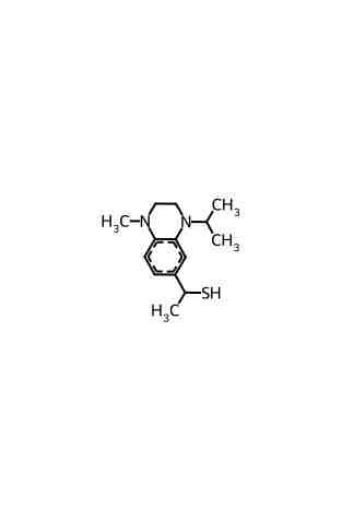 CC(S)c1ccc2c(c1)N(C(C)C)CCN2C